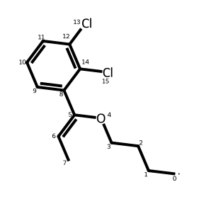 [CH2]CCCOC(=CC)c1cccc(Cl)c1Cl